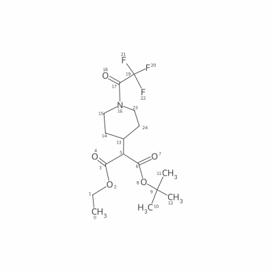 CCOC(=O)C(C(=O)OC(C)(C)C)C1CCN(C(=O)C(F)(F)F)CC1